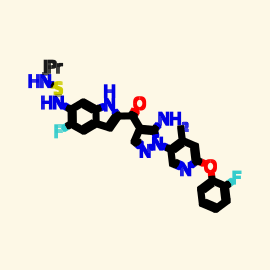 Cc1cc(Oc2ccccc2F)ncc1-n1ncc(C(=O)c2cc3cc(F)c(NSNC(C)C)cc3[nH]2)c1N